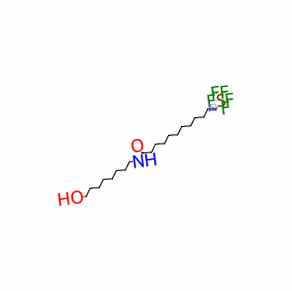 O=C(CCCCCCCCC/C=C/S(F)(F)(F)(F)F)NCCCCCCCCO